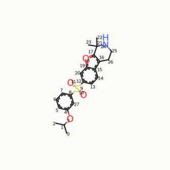 CC(C)Oc1cccc(S(=O)(=O)c2ccc3c4c(oc3c2)C(C)(C)NCC4)c1